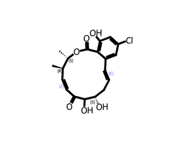 C[C@@H]1/C=C\C(=O)C(O)[C@@H](O)C/C=C/c2cc(Cl)cc(O)c2C(=O)O[C@H]1C